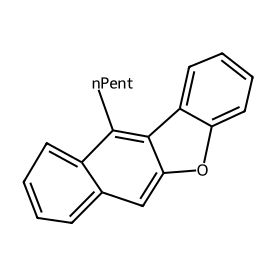 CCCCCc1c2ccccc2cc2oc3ccccc3c12